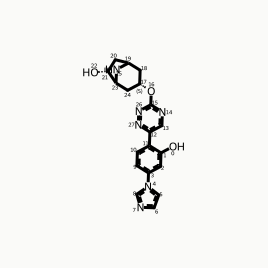 Oc1cc(-n2ccnc2)ccc1-c1cnc(O[C@H]2CC3C[C@@H](O)C(C2)N3)nn1